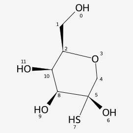 OC[C@H]1OC[C@](O)(S)[C@@H](O)[C@H]1O